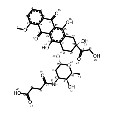 COc1cccc2c1C(=O)c1c(O)c3c(c(O)c1C2=O)C[C@@](O)(C(=O)CO)C[C@@H]3O[C@H]1C[C@H](NC(=O)CCC(=O)O)[C@H](O)[C@H](C)O1